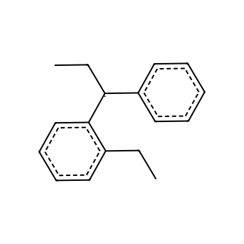 CC[C](c1ccccc1)c1ccccc1CC